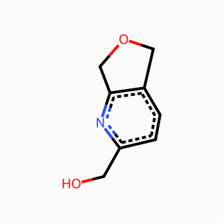 OCc1ccc2c(n1)COC2